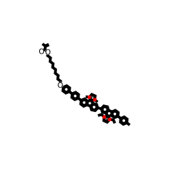 C=C(C)C(=O)OCCCCCCCCCCOc1ccc(-c2ccc(-c3ccc4c(c3)C3(c5cc(-c6ccc7c(c6)C6(c8cc(-c9ccc(C)cc9)ccc8-7)C7(CC)CCC6(CC)CC7)ccc5-4)C4(C)CCC3(C)CC4)cc2)cc1